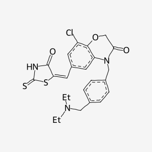 CCN(CC)Cc1ccc(CN2C(=O)COc3c(Cl)cc(/C=C4/SC(=S)NC4=O)cc32)cc1